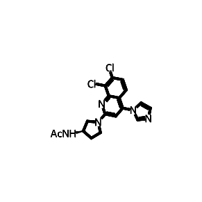 CC(=O)N[C@@H]1CCN(c2cc(-n3ccnc3)c3ccc(Cl)c(Cl)c3n2)C1